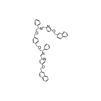 C(=N\[C@@H](COCc1ccc(COC[C@H](/N=C/c2ccc(OCc3ccc4ccccc4c3)cn2)c2ccccc2)cc1)c1ccccc1)/c1ccc(OCc2ccc3ccccc3c2)cn1